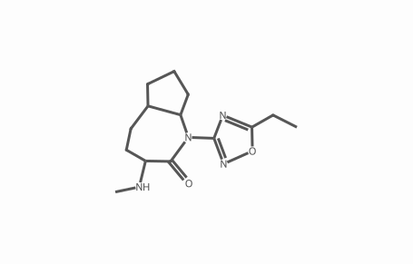 CCc1nc(N2C(=O)C(NC)CCC3CCCC32)no1